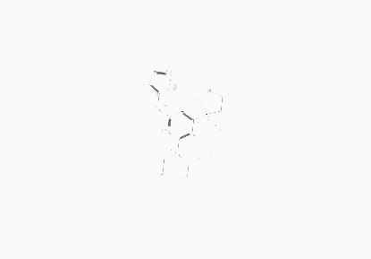 C[C@@H]1COCCN1c1cc(C2(C#N)CCCC2)cc(Nc2ccn[nH]2)n1